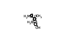 COc1cc(-c2cccc(N)n2)c(OC)cc1CN1CCCC(CO)C1